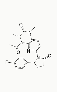 CC(=O)N1c2nc(N3C(=O)CCC3c3ccc(F)cc3)ccc2N(C)C(=O)[C@H]1C